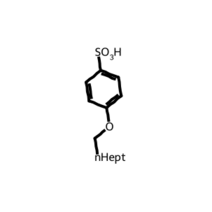 CCCCCCCCOc1ccc(S(=O)(=O)O)cc1